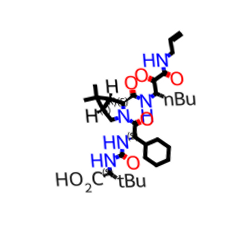 C=CCNC(=O)C(=O)C(CCCC)NC(=O)[C@@H]1[C@@H]2[C@H](CN1C(=O)[C@@H](NC(=O)N[C@H](C(=O)O)C(C)(C)C)C1CCCCC1)C2(C)C